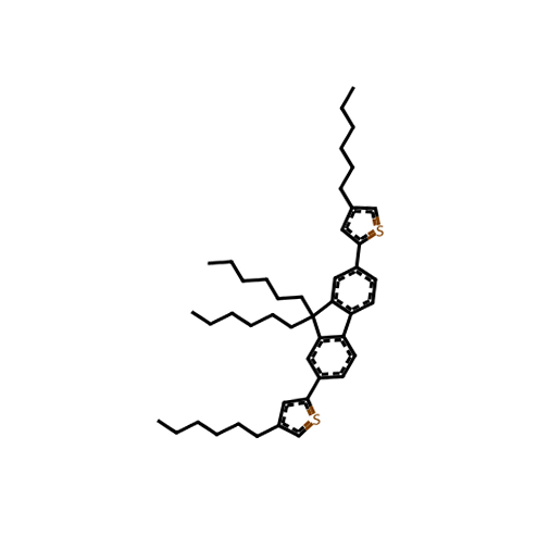 CCCCCCc1csc(-c2ccc3c(c2)C(CCCCCC)(CCCCCC)c2cc(-c4cc(CCCCCC)cs4)ccc2-3)c1